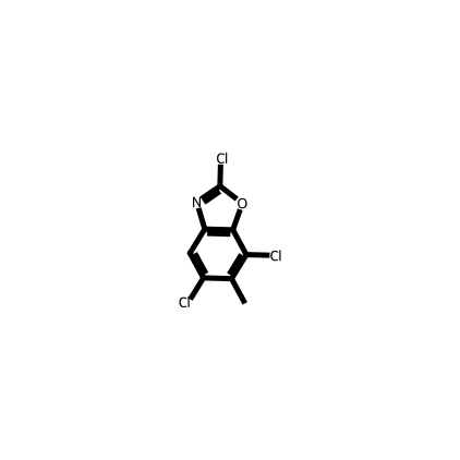 Cc1c(Cl)cc2nc(Cl)oc2c1Cl